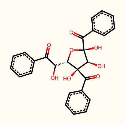 O=C(c1ccccc1)C(O)[C@@H]1O[C@](O)(C(=O)c2ccccc2)[C@@H](O)[C@]1(O)C(=O)c1ccccc1